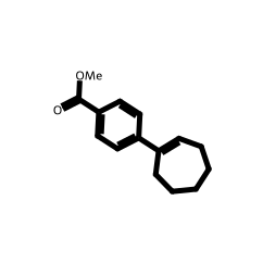 COC(=O)c1ccc(C2=CCCCCC2)cc1